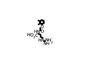 Cc1cccc(OCC(=O)NC(CCCNC(=N)N)C(=O)O)c1C